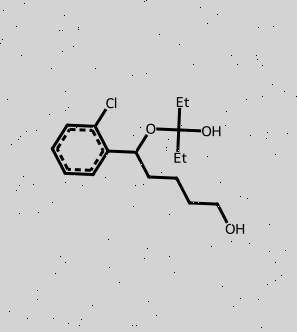 CCC(O)(CC)OC(CCCCO)c1ccccc1Cl